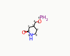 O=C1CC(COP)CCN1